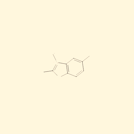 Cc1ccc2oc(C)[n+](C)c2c1